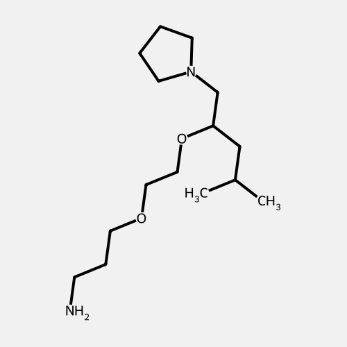 CC(C)CC(CN1CCCC1)OCCOCCCN